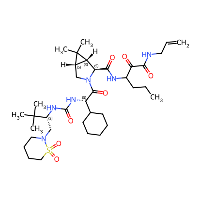 C=CCNC(=O)C(=O)C(CCC)NC(=O)[C@@H]1[C@@H]2[C@H](CN1C(=O)[C@@H](NC(=O)N[C@H](CN1CCCCS1(=O)=O)C(C)(C)C)C1CCCCC1)C2(C)C